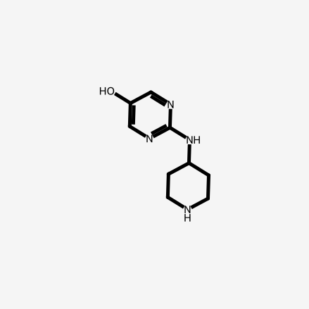 Oc1cnc(NC2CCNCC2)nc1